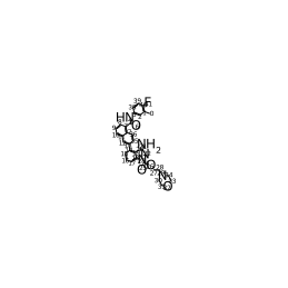 Cc1cc(NC(=O)c2cccc3cc(-c4cccc5c4c(N)nn5C(=O)OCCN4CCOCC4)ccc23)ccc1F